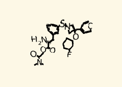 CN(C)C(=O)COC(=O)[C@@H](N)Cc1cccc(SN2CC(OC3CCCC(F)C3)(C3=CCCC=C3)C2)c1